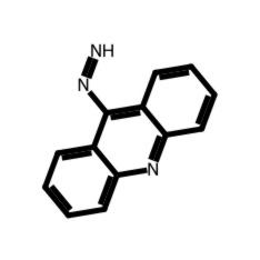 N=Nc1c2ccccc2nc2ccccc12